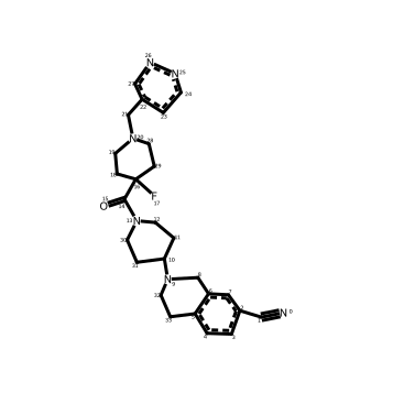 N#Cc1ccc2c(c1)CN(C1CCN(C(=O)C3(F)CCN(Cc4ccnnc4)CC3)CC1)CC2